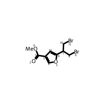 COC(=O)c1coc(C(CBr)CBr)c1